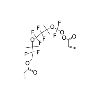 C=CC(=O)OCC(F)(F)C(C)(C)OC(F)(F)C(F)(F)C(C)(C)OC(F)(F)OOC(=O)C=C